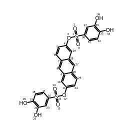 O=S(=O)(Oc1ccc2cc3cc(OS(=O)(=O)c4ccc(O)c(O)c4)ccc3cc2c1)c1ccc(O)c(O)c1